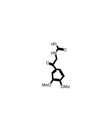 CCCC(=O)NCC(=O)c1ccc(OC)c(OC)c1